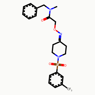 CN(Cc1ccccc1)C(=O)CON=C1CCN(S(=O)(=O)c2cccc(C(F)(F)F)c2)CC1